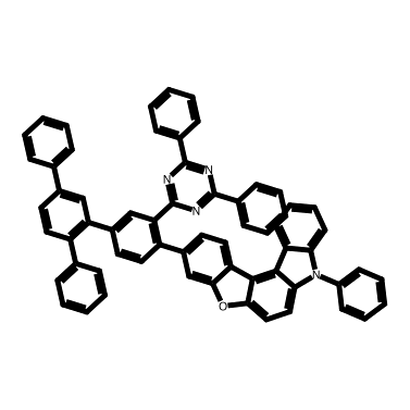 c1ccc(-c2ccc(-c3ccccc3)c(-c3ccc(-c4ccc5c(c4)oc4ccc6c(c7ccccc7n6-c6ccccc6)c45)c(-c4nc(-c5ccccc5)nc(-c5ccccc5)n4)c3)c2)cc1